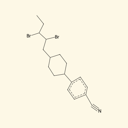 CCC(Br)C(Br)CC1CCC(c2ccc(C#N)cc2)CC1